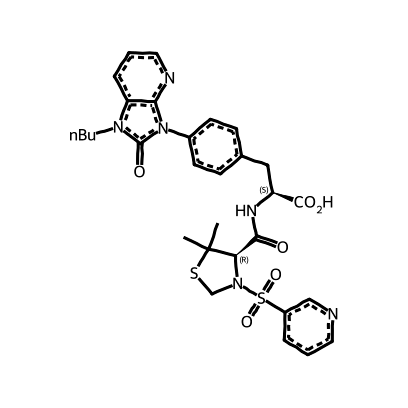 CCCCn1c(=O)n(-c2ccc(C[C@H](NC(=O)[C@H]3N(S(=O)(=O)c4cccnc4)CSC3(C)C)C(=O)O)cc2)c2ncccc21